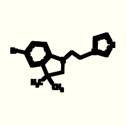 CC1(C)CN(CCn2ccnc2)c2ccc(Br)cc21